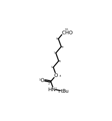 CC(C)(C)NC(=O)OCCCCCC=O